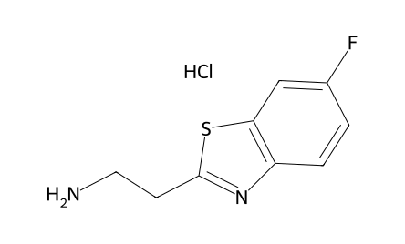 Cl.NCCc1nc2ccc(F)cc2s1